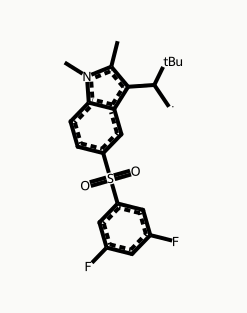 [CH2]C(c1c(C)n(C)c2ccc(S(=O)(=O)c3cc(F)cc(F)c3)cc12)C(C)(C)C